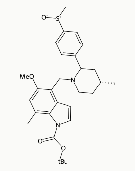 COc1cc(C)c2c(ccn2C(=O)OC(C)(C)C)c1CN1CC[C@@H](C)CC1c1ccc([S+](C)[O-])cc1